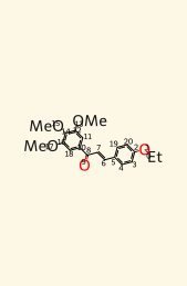 CCOc1ccc(/C=C/C(=O)c2cc(OC)c(OC)c(OC)c2)cc1